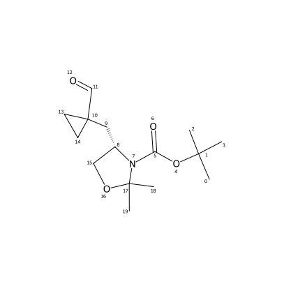 CC(C)(C)OC(=O)N1[C@@H](CC2(C=O)CC2)COC1(C)C